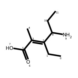 CCC(=C(C)C(=O)O)C(N)CC